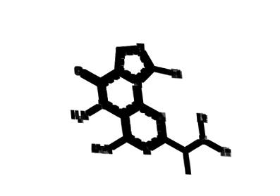 CCc1ncc2c(=O)n(N)c3c(NC)nc(C(C)N(CC)CC)nc3n12